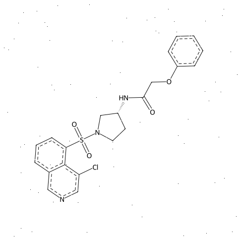 O=C(COc1ccccc1)N[C@@H]1CCN(S(=O)(=O)c2cccc3cncc(Cl)c23)C1